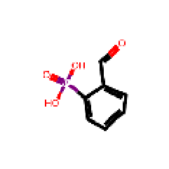 O=Cc1ccccc1P(=O)(O)O